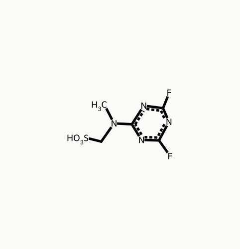 CN(CS(=O)(=O)O)c1nc(F)nc(F)n1